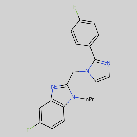 CCCn1c(Cn2ccnc2-c2ccc(F)cc2)nc2cc(F)ccc21